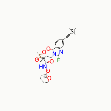 C[C@@](CCn1c(F)nc2cc(C#C[Si](C)(C)C)ccc2c1=O)(C(=O)NO[C@H]1CCCCO1)S(C)(=O)=O